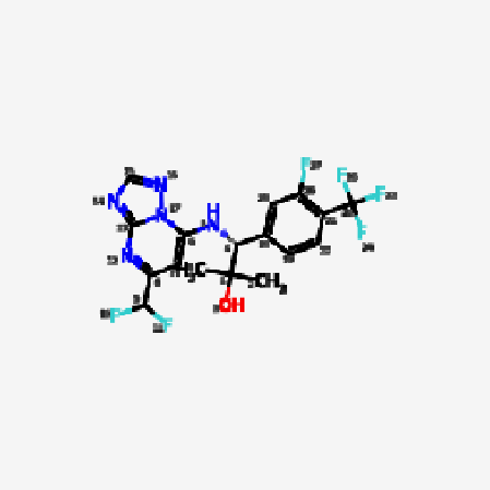 CC(C)(O)[C@H](Nc1cc(C(F)F)nc2ncnn12)c1ccc(C(F)(F)F)c(F)c1